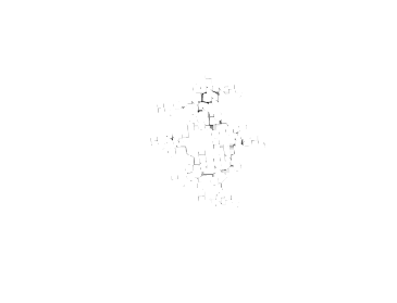 C=CCn1c(=O)n([C@H]2O[C@@H](COC(=O)N(C)CCNC(=O)[C@H](CCCCN)NC(=O)[C@@H](NC(=O)CCCC(=O)NN)C(C)C)[C@H](O)[C@@H]2O)c2nc(N)[nH]c(=O)c21